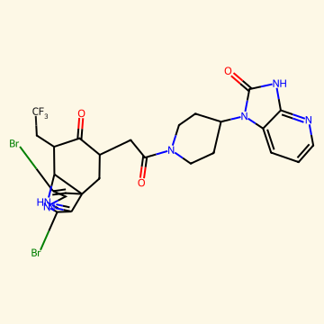 O=C1C(CC(=O)N2CCC(n3c(=O)[nH]c4ncccc43)CC2)CC23C=C(Br)CN=C(Br)C2=NNC3C1CC(F)(F)F